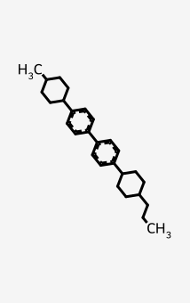 CCCC1CCC(c2ccc(-c3ccc(C4CCC(C)CC4)cc3)cc2)CC1